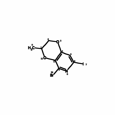 CC1COc2cc(I)nc(Br)c2O1